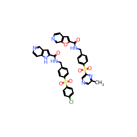 Cc1cncc(S(=O)(=O)c2ccc(CNC(=O)c3cc4ccncc4o3)cc2)n1.O=C(NCc1ccc(S(=O)(=O)c2ccc(Cl)cc2)cc1)c1cc2cnccc2[nH]1